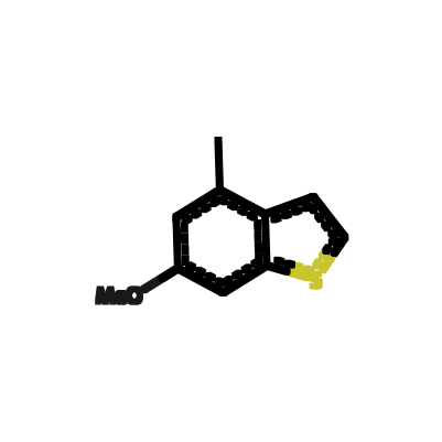 COc1cc(C)c2ccsc2c1